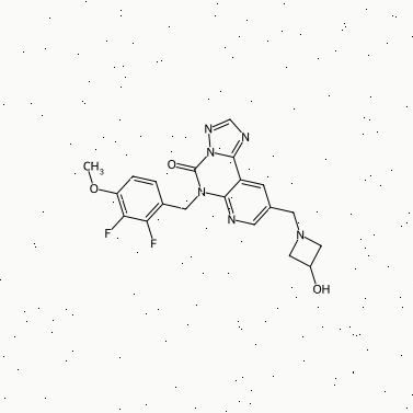 COc1ccc(Cn2c(=O)n3ncnc3c3cc(CN4CC(O)C4)cnc32)c(F)c1F